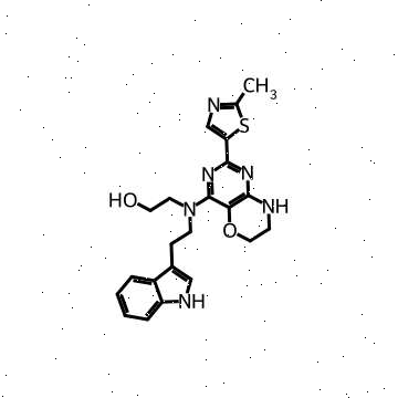 Cc1ncc(-c2nc3c(c(N(CCO)CCc4c[nH]c5ccccc45)n2)OCCN3)s1